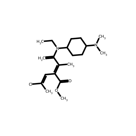 C=C(/C(C)=C(\C=C(/C)Cl)C(=O)OC)N(CC)C1CCC(N(C)C)CC1